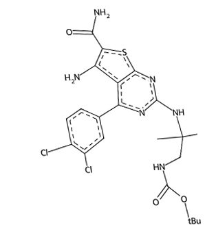 CC(C)(CNC(=O)OC(C)(C)C)Nc1nc(-c2ccc(Cl)c(Cl)c2)c2c(N)c(C(N)=O)sc2n1